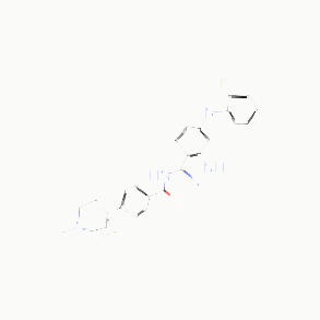 CN1CC[C@@H](c2ccc(C(=O)Nc3n[nH]c4cc(Nc5ccccc5F)ccc34)cc2)[C@@H](F)C1